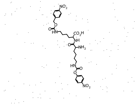 NC(CCCCNC(=O)Oc1ccc([N+](=O)[O-])cc1)C(=O)NC(CCCCNC(=O)OCc1ccc([N+](=O)[O-])cc1)C(=O)O